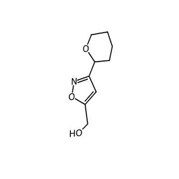 OCc1cc(C2CCCCO2)no1